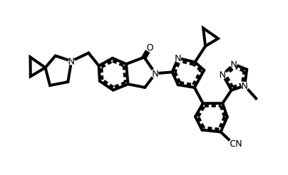 Cn1cnnc1-c1cc(C#N)ccc1-c1cc(C2CC2)nc(N2Cc3ccc(CN4CCC5(CC5)C4)cc3C2=O)c1